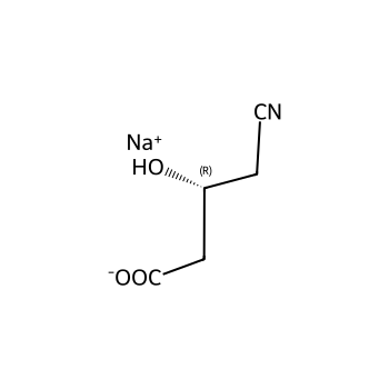 N#CC[C@@H](O)CC(=O)[O-].[Na+]